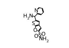 NC(c1ccccn1)c1cc2cc(S(N)(=O)=O)oc2s1